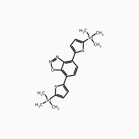 [CH3][Sn]([CH3])([CH3])[c]1ccc(-c2ccc(-c3cc[c]([Sn]([CH3])([CH3])[CH3])s3)c3onnc23)s1